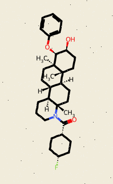 C[C@]12CC[C@H]3[C@@H](CC[C@@]4(C)[C@@H](Oc5ccccc5)[C@@H](O)CC[C@]34C)[C@@H]1CCCN2C(=O)[C@H]1CC[C@@H](F)CC1